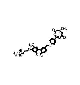 Cc1cc(-c2cccc(COc3ccc(B4OC(=O)CN(C)CC(=O)O4)cc3)c2)c(C)cc1OCCCS(C)(=O)=O